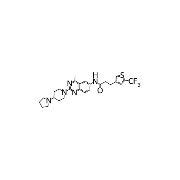 Cc1nc(N2CCC(N3CCCC3)CC2)nc2ccc(NC(=O)CCc3csc(C(F)(F)F)c3)cc12